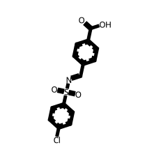 O=C(O)c1ccc(C=NS(=O)(=O)c2ccc(Cl)cc2)cc1